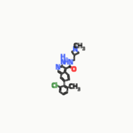 Cc1cccc(Cl)c1-c1ccc2c(C(=O)NCC3CN(C)C3)c(N)ncc2c1